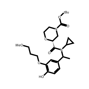 COCCCOc1cc(C(C)N(C(=O)[C@H]2CN(C(=O)OC(C)(C)C)CCO2)C2CC2)ccc1O